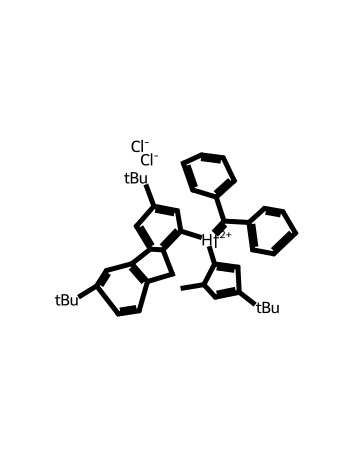 CC1C=C(C(C)(C)C)C=[C]1[Hf+2](=[C](c1ccccc1)c1ccccc1)[c]1cc(C(C)(C)C)cc2c1Cc1ccc(C(C)(C)C)cc1-2.[Cl-].[Cl-]